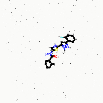 Cc1ccccc1C(=O)Nc1cnc(-c2cc(-c3ccccc3F)nn2C)s1